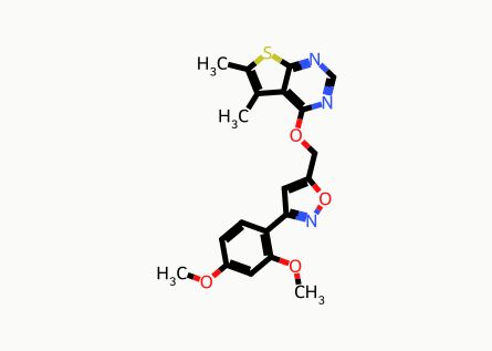 COc1ccc(-c2cc(COc3ncnc4sc(C)c(C)c34)on2)c(OC)c1